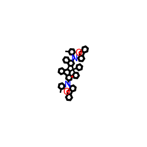 Cc1cccc(N(c2ccc3c4c(c5ccccc5c3c2)-c2c(cc(N(c3cccc(C)c3)c3cccc5c3oc3ccccc35)c3ccccc23)C4(c2ccccc2)c2ccccc2)c2cccc3c2oc2ccccc23)c1